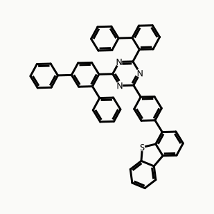 c1ccc(-c2ccc(-c3nc(-c4ccc(-c5cccc6c5sc5ccccc56)cc4)nc(-c4ccccc4-c4ccccc4)n3)c(-c3ccccc3)c2)cc1